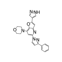 c1ccc(-c2ccn(-c3cc(N4CCOCC4)c4oc(-c5cn[nH]c5)cc4n3)n2)cc1